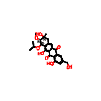 CO[C@H]1[C@H](OC(C)C)c2c(cc3c(c2O)C(=O)c2c(O)cc(CO)cc2C3=O)C[C@@]1(C)O